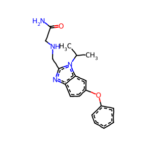 CC(C)n1c(CNCC(N)=O)nc2ccc(Oc3ccccc3)cc21